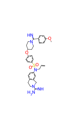 C=CCN(c1ccc2c(c1)CN(C(=N)N)CC2)S(=O)(=O)c1ccc(OC2CCN(C(=N)c3ccc(OC)cc3)CC2)cc1